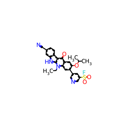 CCn1c2cc(-c3cncc(S(=O)(=O)F)c3)c(OC(C)C)cc2c(=O)c2c3ccc(C#N)cc3[nH]c21